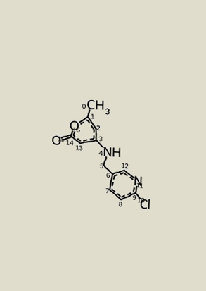 Cc1cc(NCc2ccc(Cl)nc2)cc(=O)o1